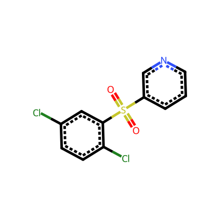 O=S(=O)(c1cccnc1)c1cc(Cl)ccc1Cl